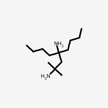 CCCCC(N)(CCCC)CC(C)(C)N